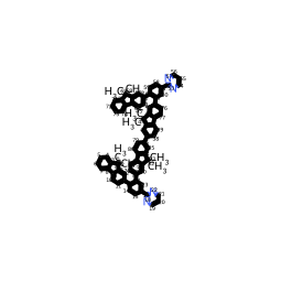 CC1(C)c2ccccc2-c2ccc(-c3ccc(-c4ncccn4)cc3-c3ccc4c(c3)C(C)(C)c3cc(-c5ccc6c(c5)C(C)(C)c5cc(-c7cc(-c8ncccn8)ccc7-c7ccc8c(c7)C(C)(C)c7ccccc7-8)ccc5-6)ccc3-4)cc21